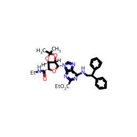 CCNC(=O)[C@H]1O[C@@H](n2cnc3c(NCC(c4ccccc4)c4ccccc4)nc(C(=O)OCC)nc32)[C@H]2OC(C)(C)O[C@@H]21